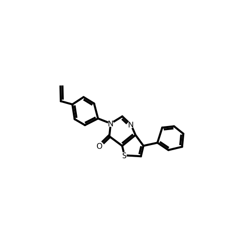 C=Cc1ccc(-n2cnc3c(-c4ccccc4)csc3c2=O)cc1